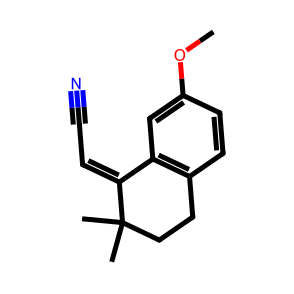 COc1ccc2c(c1)C(=CC#N)C(C)(C)CC2